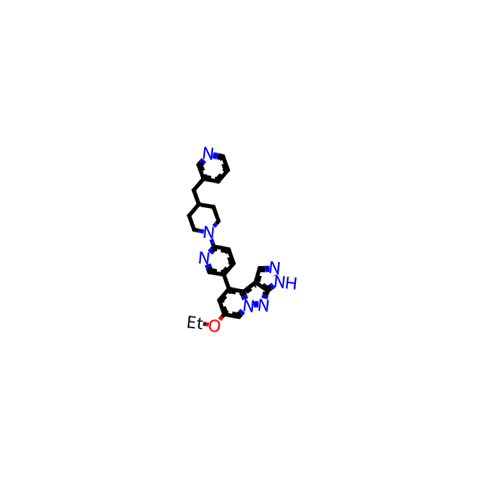 CCOc1cc(-c2ccc(N3CCC(Cc4cccnc4)CC3)nc2)c2c3cn[nH]c3nn2c1